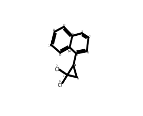 ClC1(Cl)CC1c1cccc2ccccc12